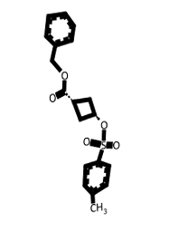 Cc1ccc(S(=O)(=O)O[C@H]2C[C@@H](C(=O)OCc3ccccc3)C2)cc1